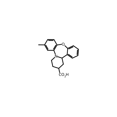 Cc1ccc2c(c1)N1CCC(C(=O)O)CC1c1ccccc1O2